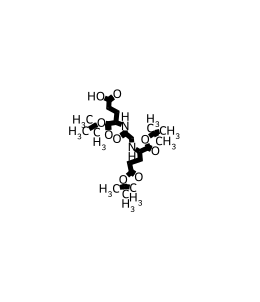 CC(C)(C)OC(=O)CCC(NCC(=O)NC(CCC(=O)O)C(=O)OC(C)(C)C)C(=O)OC(C)(C)C